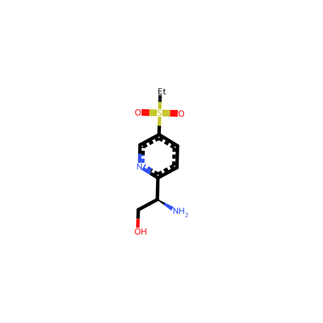 CCS(=O)(=O)c1ccc([C@@H](N)CO)nc1